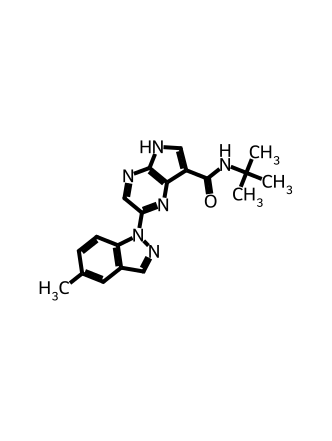 Cc1ccc2c(cnn2-c2cnc3[nH]cc(C(=O)NC(C)(C)C)c3n2)c1